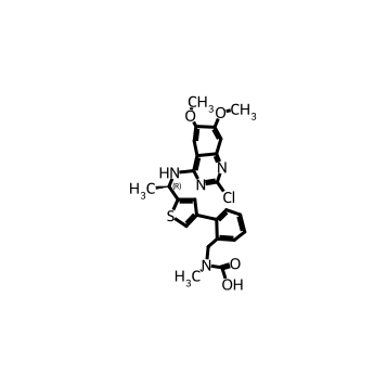 COc1cc2nc(Cl)nc(N[C@H](C)c3cc(-c4ccccc4CN(C)C(=O)O)cs3)c2cc1OC